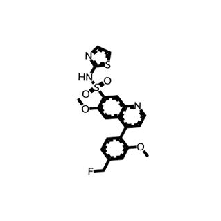 COc1cc(CF)ccc1-c1ccnc2cc(S(=O)(=O)Nc3nccs3)c(OC)cc12